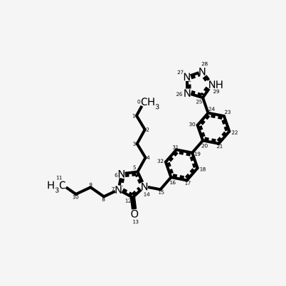 CCCCCc1nn(CCCC)c(=O)n1Cc1ccc(-c2cccc(-c3nnn[nH]3)c2)cc1